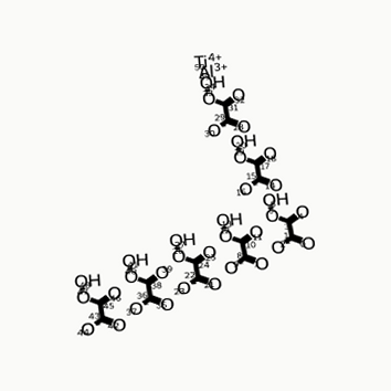 O=C([O-])C(=O)OO.O=C([O-])C(=O)OO.O=C([O-])C(=O)OO.O=C([O-])C(=O)OO.O=C([O-])C(=O)OO.O=C([O-])C(=O)OO.O=C([O-])C(=O)OO.[Al+3].[Ti+4]